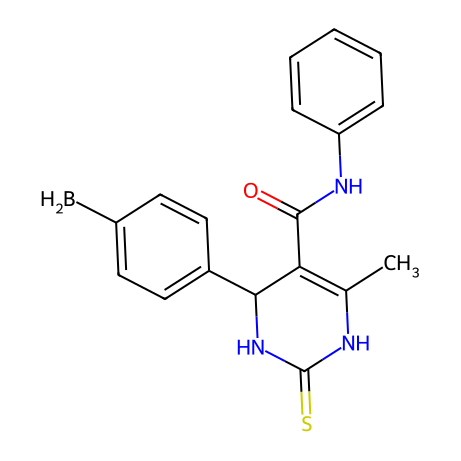 Bc1ccc(C2NC(=S)NC(C)=C2C(=O)Nc2ccccc2)cc1